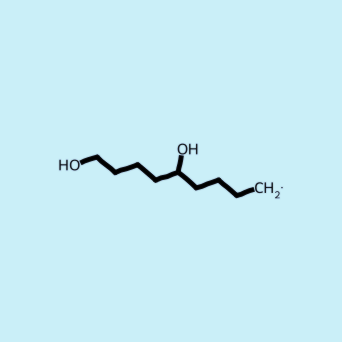 [CH2]CCCC(O)CCCCO